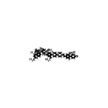 CCc1cc(Nc2ncc(Br)c(Nc3ccc4nc(C)ccc4c3P(C)(C)=O)n2)c(OC)cc1N1CCC(N2CCN(CCc3cc(F)c(C4CCC(=O)NC4=O)c(F)c3)CC2)CC1